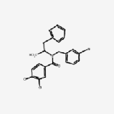 O=C(O)C(Cc1ccccc1)N(Cc1cccc(Br)c1)C(=O)c1ccc(Cl)c(Cl)c1